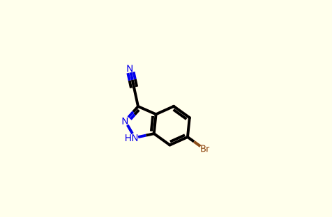 N#Cc1n[nH]c2cc(Br)ccc12